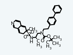 C[C@H](CN(CCc1ccc(-c2ccccc2)cc1)C(=O)OC(C)(C)C)NS(=O)(=O)C1(C)C=c2ccncc2=CC1